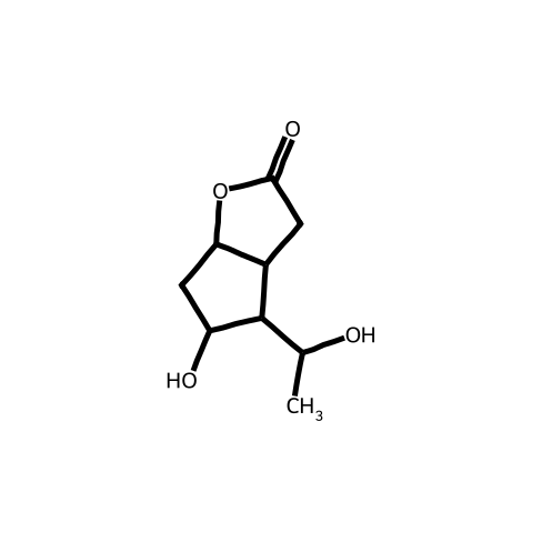 CC(O)C1C(O)CC2OC(=O)CC21